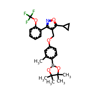 Cc1cc(OCc2c(-c3ccccc3OC(F)(F)F)noc2C2CC2)ccc1B1OC(C)(C)C(C)(C)O1